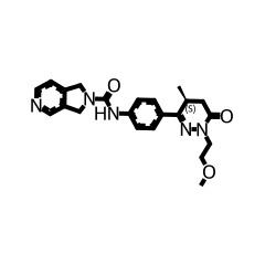 COCCN1N=C(c2ccc(NC(=O)N3Cc4ccncc4C3)cc2)[C@@H](C)CC1=O